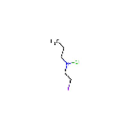 CCCN(Cl)CCI